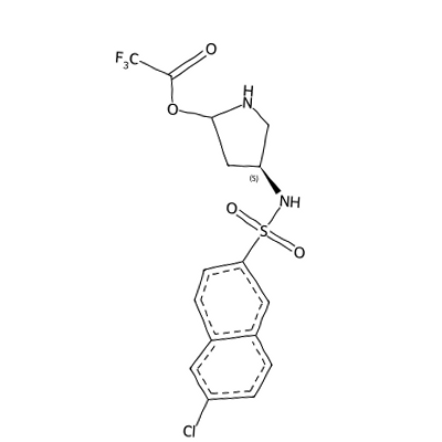 O=C(OC1C[C@H](NS(=O)(=O)c2ccc3cc(Cl)ccc3c2)CN1)C(F)(F)F